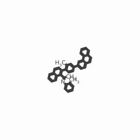 C/C(=N\c1ccccc1C)c1c(-c2ccc(-c3ccc4ccc5ccccc5c4c3)cc2C)ccc2ccccc12